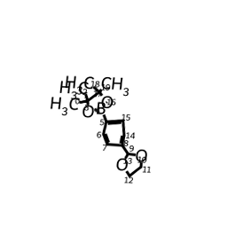 CC1(C)OB(c2ccc(C3OCCO3)cc2)OC1(C)C